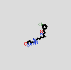 C[C@H](CCCCc1nnc(-c2ccc(=O)n(C)n2)n1C)C1=NOC(c2cccc(Cl)c2)C1